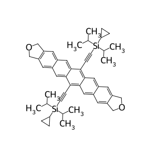 CC(C)[Si](C#Cc1c2cc3cc4c(cc3cc2c(C#C[Si](C(C)C)(C(C)C)C2CC2)c2cc3cc5c(cc3cc12)COC5)COC4)(C(C)C)C1CC1